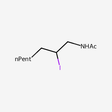 CCCCCCC(I)CNC(C)=O